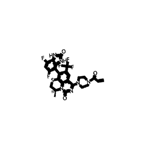 C=CC(=O)N1CCN(c2nc(=O)n3c4c(c(-c5c(F)cc(F)c6[nH]c(=O)[nH]c56)c(C(F)(F)F)cc24)SC[C@@H]3C)CC1